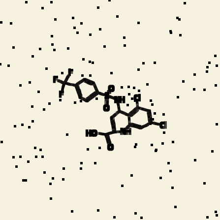 O=C(O)C1=CC(NS(=O)(=O)c2ccc(C(F)(F)F)cc2)c2c(Cl)cc(Cl)cc2N1